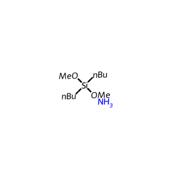 CCCC[Si](CCCC)(OC)OC.N